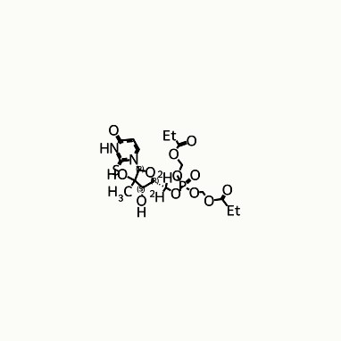 [2H]C([2H])(OP(=O)(OCOC(=O)CC)OCOC(=O)CC)[C@H]1O[C@@H](n2ccc(=O)[nH]c2=S)C(C)(O)[C@H]1O